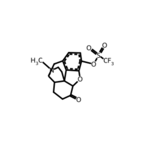 CN1CCC23c4c5ccc(OS(=O)(=O)C(F)(F)F)c4OC2C(=O)CCC3C1C5